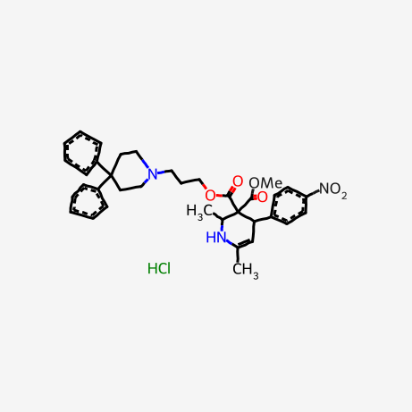 COC(=O)C1(C(=O)OCCCN2CCC(c3ccccc3)(c3ccccc3)CC2)C(C)NC(C)=CC1c1ccc([N+](=O)[O-])cc1.Cl